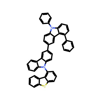 c1ccc(-c2cccc3c2c2cc(-c4ccc5c(c4)c4ccccc4n5-c4cccc5sc6ccccc6c45)ccc2n3-c2ccccc2)cc1